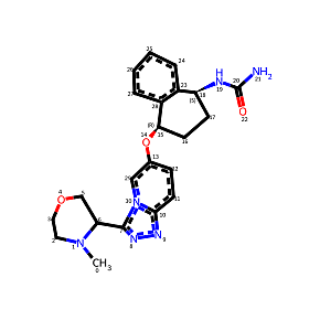 CN1CCOCC1c1nnc2ccc(O[C@@H]3CC[C@H](NC(N)=O)c4ccccc43)cn12